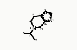 CC(C)N1CCc2c[c]sc2C1